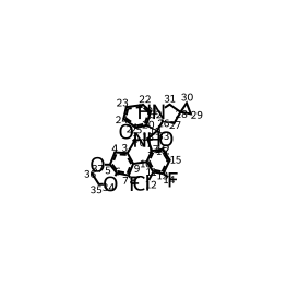 NC(=O)c1cc2c(c(F)c1-c1c(Cl)c(F)cc3c1C[C@](c1ccccc1)([C@@H]1CC4(CC4)CN1)O3)OCCO2